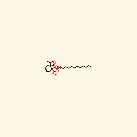 CCCCCCCCCCCCCCC1(C(=O)O)CC=CCC1(C(=O)O)C(C)C